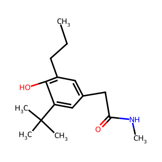 CCCc1cc(CC(=O)NC)cc(C(C)(C)C)c1O